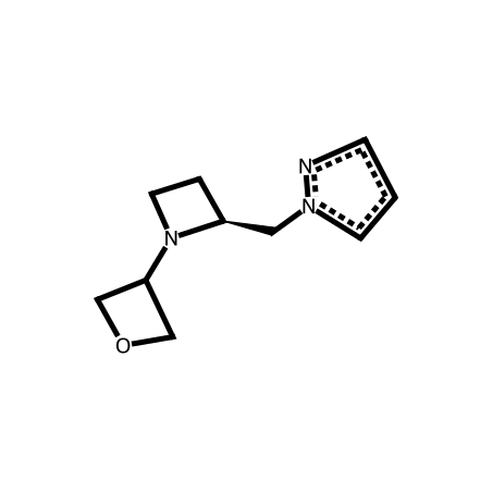 c1cnn(C[C@@H]2CCN2C2COC2)c1